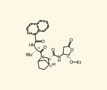 CCO[C@H]1OC(=O)CC1NC(=O)[C@@H]1[C@H]2CCC(C2)N1C(=O)[C@@H](NC(=O)c1nccc2ccccc12)C(C)(C)C